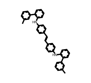 Cc1cccc(-c2ccccc2Nc2ccc(C=Cc3ccc(Nc4ccccc4-c4cccc(C)c4)cc3)cc2)c1